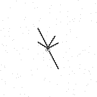 CCCCCCCCCCCCCCCCCCOC(=O)C(CCCCCCCCCC)(CCCCCCCCCC)C(CCCCCCCCCCC)CCCCCCCCCCCCCCCCCC